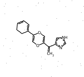 C=C(C1=COC(C2=CC=CCC2)=CO1)c1c[nH]cn1